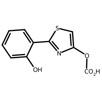 O=C(O)Oc1csc(-c2ccccc2O)n1